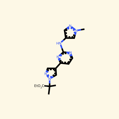 CCOC(=O)C(C)(C)n1cc(-c2ccnc(Nc3cnn(C)c3)n2)cn1